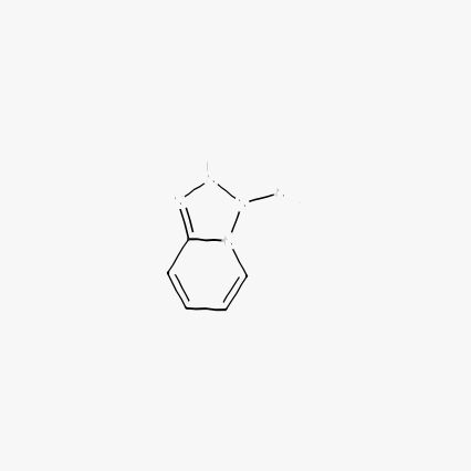 NN1NN=C2C=CC=CN21